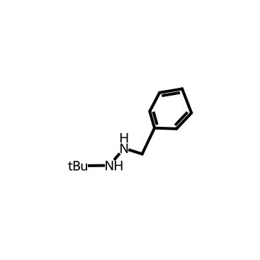 CC(C)(C)NNCc1ccccc1